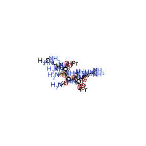 C=C(N)NCCC[C@@H](N)C(=N)Nc1cc(C(=O)OC(C)C)cc(NC(=O)c2cc(OCCN)cc(C(=O)Nc3cc(C(=O)OC(C)C)cc(NC(=O)[C@H](N)CCCNC(=N)N)c3SCCN)c2)c1SCCN